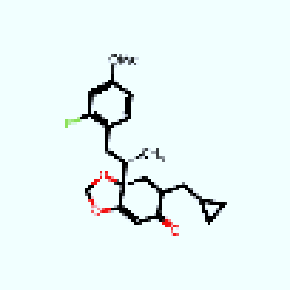 COc1ccc(C[C@H](C)[C@]23CC(CC4CC4)C(=O)C=C2OCO3)c(F)c1